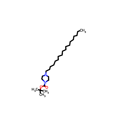 CCCCCCCCCCCCCCCCCCN1CCN(C(=O)OC(C)(C)C)CC1